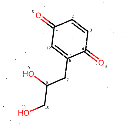 O=C1C=CC(=O)C(CC(O)CO)=C1